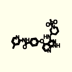 Cc1ccnc(NC(=O)c2ccc(Oc3ccnc4[nH]nc(NC5CCCN(S(C)(=O)=O)C5)c34)cc2)c1